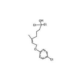 CCc1ccc(OCC=C(C)CCCC(O)(CC)CC)cc1